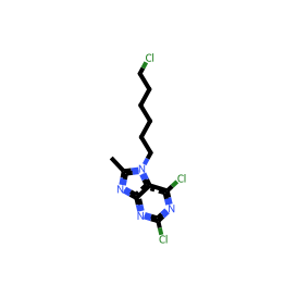 Cc1nc2nc(Cl)nc(Cl)c2n1CCCCCCCl